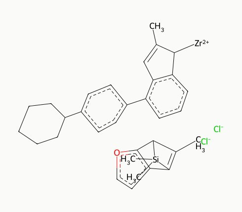 CC1=C2c3ccoc3C1[Si]2(C)C.CC1=Cc2c(-c3ccc(C4CCCCC4)cc3)cccc2[CH]1[Zr+2].[Cl-].[Cl-]